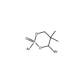 CC(=O)P1(=O)OCC(C)(C)C(C(C)C)O1